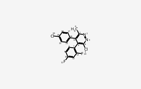 Cc1nnc(Cl)c(-c2ccc(F)cc2F)c1-c1ccc(Cl)cc1